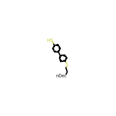 CCCCCCCCCCCCSc1ccc(-c2ccc(S)cc2)cc1